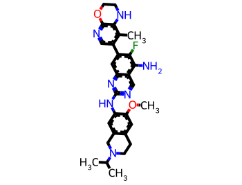 COc1cc2c(cc1Nc1ncc3c(N)c(F)c(-c4cnc5c(c4C)NCCO5)cc3n1)CN(C(C)C)CC2